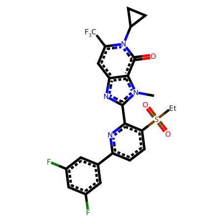 CCS(=O)(=O)c1ccc(-c2cc(F)cc(F)c2)nc1-c1nc2cc(C(F)(F)F)n(C3CC3)c(=O)c2n1C